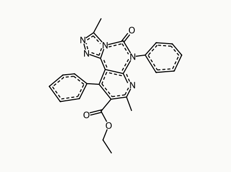 CCOC(=O)c1c(C)nc2c(c1-c1ccccc1)c1nnc(C)n1c(=O)n2-c1ccccc1